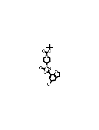 CC(C)(C)OC(=O)N1CCC(n2nc(-c3cc(Cl)cc4c3OCC4)oc2=O)CC1